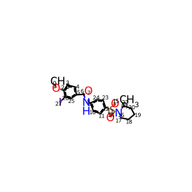 COc1ccc(C(=O)Nc2ccc(S(=O)(=O)N3CCCC[C@@H]3C)cc2)cc1I